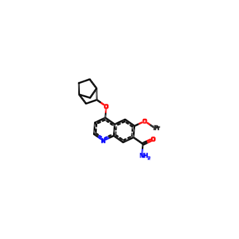 CC(C)Oc1cc2c(OC3CC4CCC3C4)ccnc2cc1C(N)=O